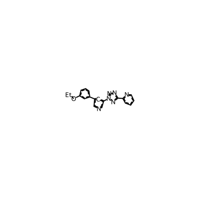 CCOc1cccc(-c2cncc(-n3nnc(-c4ccccn4)n3)c2)c1